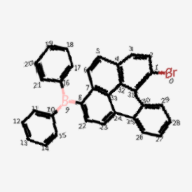 Brc1ccc2ccc3c(B(c4ccccc4)c4ccccc4)ccc4c5ccccc5c1c2c34